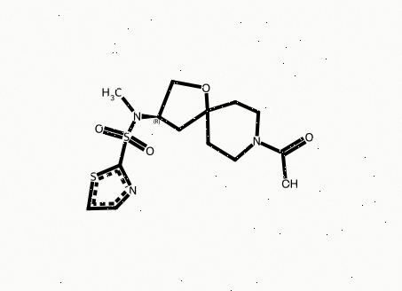 CN([C@H]1COC2(CCN(C(=O)O)CC2)C1)S(=O)(=O)c1nccs1